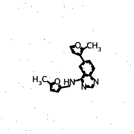 Cc1ccc(CNc2ncnc3ccc(-c4ccoc4C)cc23)o1